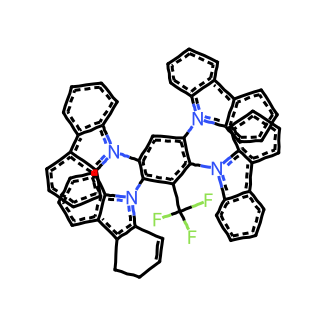 FC(F)(F)c1c(-n2c3c(c4ccccc42)CCC=C3)c(-n2c3ccccc3c3ccccc32)cc(-n2c3ccccc3c3ccccc32)c1-n1c2ccccc2c2ccccc21